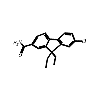 CCC1(CC)c2cc(Cl)ccc2-c2ccc(C(N)=O)cc21